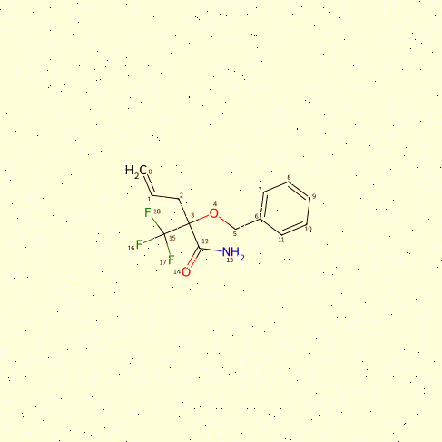 C=CCC(OCc1ccccc1)(C(N)=O)C(F)(F)F